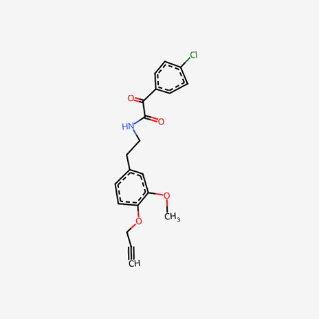 C#CCOc1ccc(CCNC(=O)C(=O)c2ccc(Cl)cc2)cc1OC